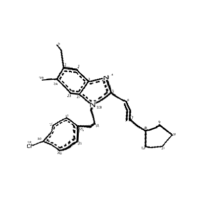 Cc1cc2nc(/C=C/C3CCCC3)n(Cc3ccc(Cl)cc3)c2cc1C